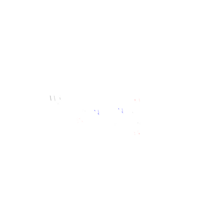 C=CC(=O)N1CCN(C(=O)C(=O)c2ccccc2)CC1